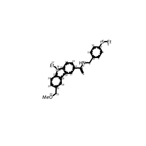 C=C(NCc1ccc(SCC)cc1)c1ccc2c(c1)c1cc(COC)ccc1n2CC